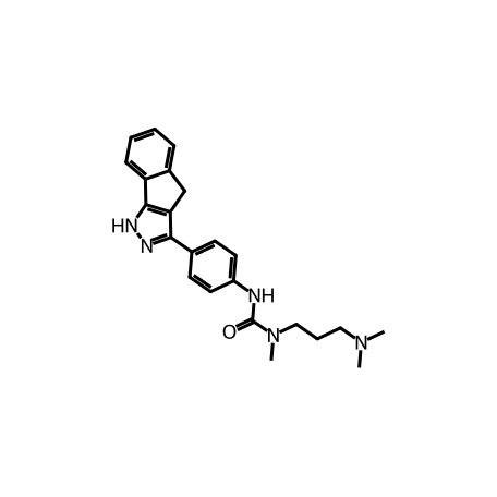 CN(C)CCCN(C)C(=O)Nc1ccc(-c2n[nH]c3c2Cc2ccccc2-3)cc1